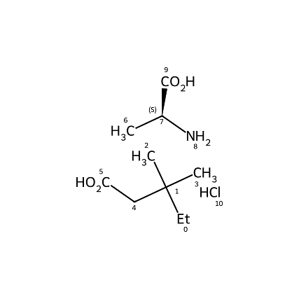 CCC(C)(C)CC(=O)O.C[C@H](N)C(=O)O.Cl